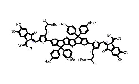 CCCCCCc1ccc(C2(c3ccc(CCCCCC)cc3)c3cc(-c4sc(/C=C5\C(=O)c6cc(C#N)c(C#N)cc6C5=C(C#N)C#N)cc4OCC(CC)CCCC)sc3-c3sc4c5c(sc4c32)-c2sc(-c3sc(/C=C4\C(=O)c6cc(C#N)c(C#N)cc6C4=C(C#N)C#N)cc3OCC(CC)CCCCC)cc2C5(c2ccc(CCCCCC)cc2)c2ccc(CCCCCC)cc2)cc1